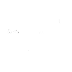 [CH2]C(OCC)OC(=O)NC